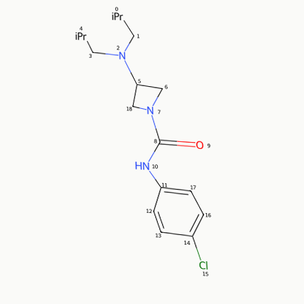 CC(C)CN(CC(C)C)C1CN(C(=O)Nc2ccc(Cl)cc2)C1